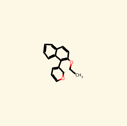 CCOc1ccc2ccccc2c1C1=CC=CO[C]1